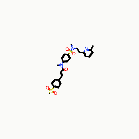 Cc1cccc(CCN(C)S(=O)(=O)c2ccc(N(C)C(=O)/C=C/c3ccc(S(C)(=O)=O)cc3)cc2)n1